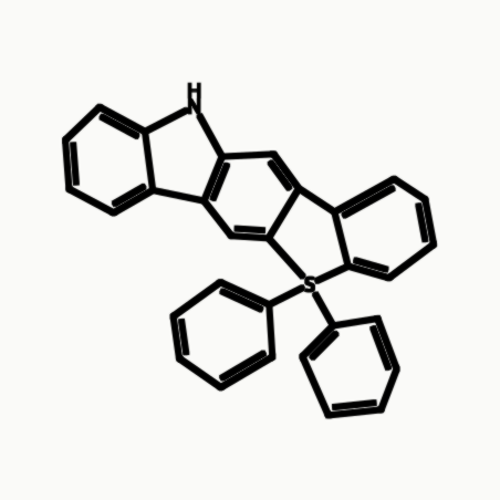 c1ccc(S2(c3ccccc3)c3ccccc3-c3cc4[nH]c5ccccc5c4cc32)cc1